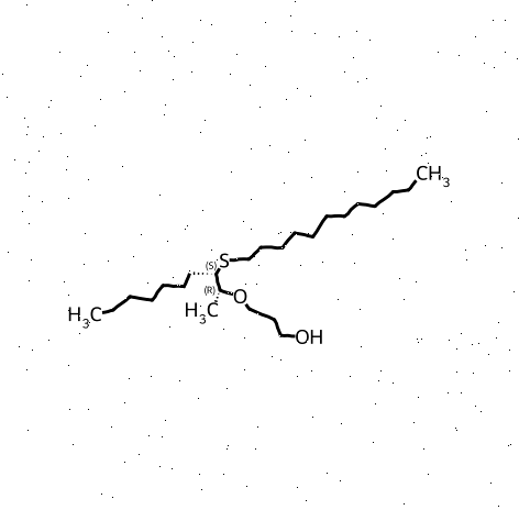 CCCCCCCCCCCCS[C@@H](CCCCCCC)[C@@H](C)OCCCO